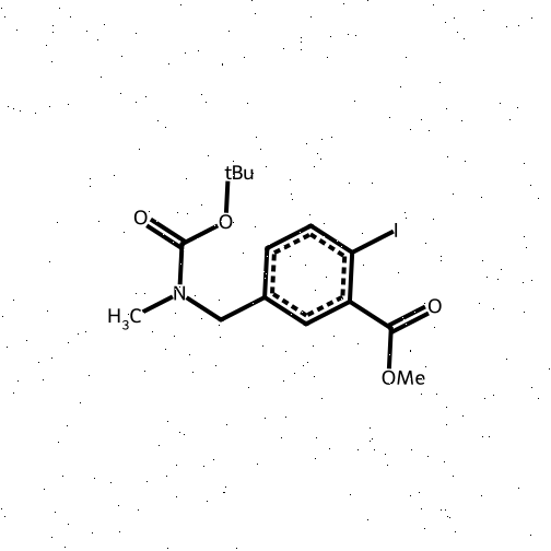 COC(=O)c1cc(CN(C)C(=O)OC(C)(C)C)ccc1I